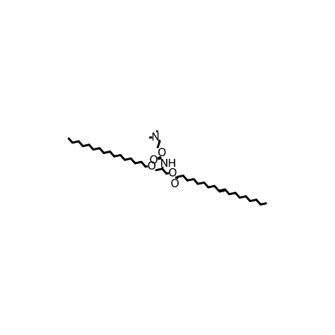 CCCCCCCCC=CCCCCCCCC(=O)OCC(COCCCCCCCCCCCCCCCC)NC(=O)OCCN(C)C